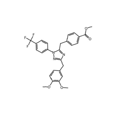 COC(=O)c1ccc(Cc2nc(Cc3ccc(OC)c(OC)c3)nn2-c2ccc(C(F)(F)F)cc2)cc1